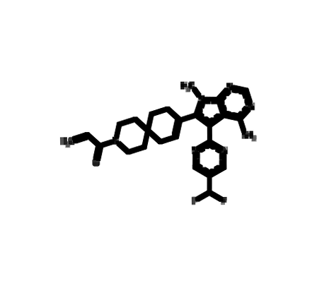 C=CC(=O)N1CCC2(CC=C(c3c(-c4ncc(C(F)F)cn4)c4c(N)ncnc4n3C)CC2)CC1